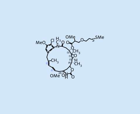 COc1cc2cc(c1Cl)N(C)C(=O)C[C@H](OC(=O)C(COCCSSC)OC)[C@]1(C)O[C@H]1[C@H](C)C1C[C@@](O)(NC(=O)O1)[C@H](OC)/C=C/C=C(\C)C2